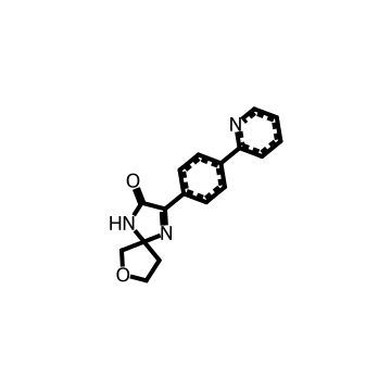 O=C1NC2(CCOC2)N=C1c1ccc(-c2ccccn2)cc1